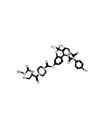 CC(=O)c1ccc(-n2c(=O)n3n(c2=O)C2C(=CC3)C(C)(C)Oc3cc(OC(=O)N4CCN(C(=O)C(CC(C)C)NC(=O)OC(C)(C)C)CC4)ccc32)cc1